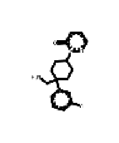 NCC1(c2cccc(Cl)c2)CCC(n2ncccc2=O)CC1